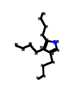 CCCCC1=C[N]C(CCCC)=C1CCCC